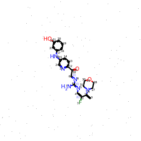 C=C(\C(F)=C/N=C(N)/N=C/C(=O)c1ccc(Nc2cccc(O)c2)cn1)N1CCOCC1